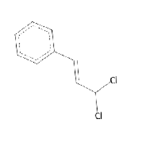 ClC(Cl)C=Cc1ccccc1